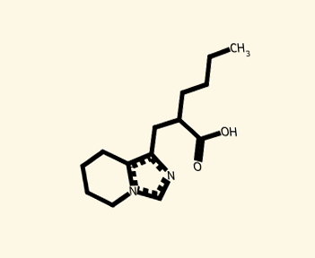 CCCCC(Cc1ncn2c1CCCC2)C(=O)O